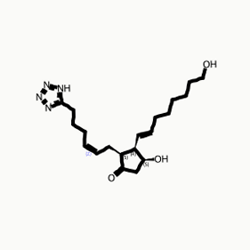 O=C1C[C@H](O)[C@H](C=CCCCCCCO)[C@@H]1C/C=C\CCCc1nnn[nH]1